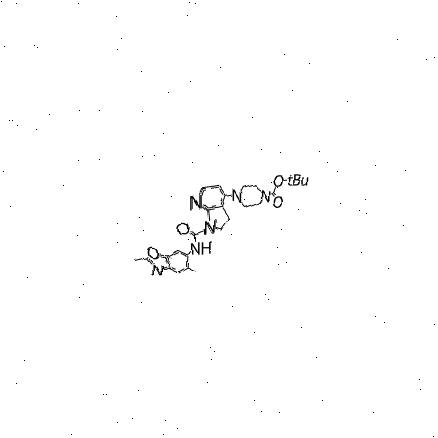 Cc1nc2cc(C)c(NC(=O)N3CCc4c(N5CCN(C(=O)OC(C)(C)C)CC5)ccnc43)cc2o1